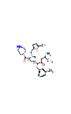 Cc1cccc(CC(C(=O)CC(C)C)[C@H]2C[C@@H](C(=O)N3CCNCC3)N(Cc3ccc(C)s3)C2)c1